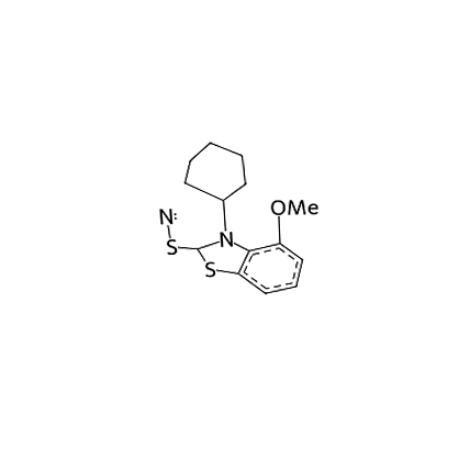 COc1cccc2c1N(C1CCCCC1)C(S[N])S2